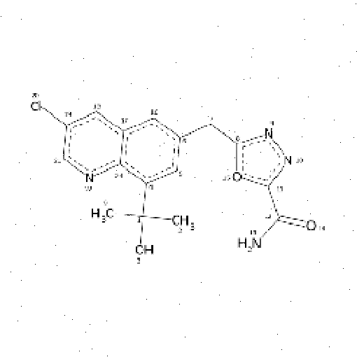 CC(C)(O)c1cc(Cc2nnc(C(N)=O)o2)cc2cc(Cl)cnc12